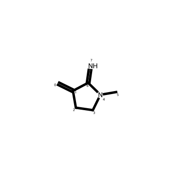 C=C1CCN(C)C1=N